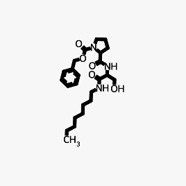 CCCCCCCCNC(=O)C(CO)NC(=O)C1CCCN1C(=O)OCc1ccccc1